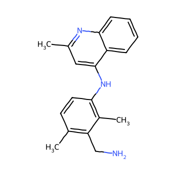 Cc1cc(Nc2ccc(C)c(CN)c2C)c2ccccc2n1